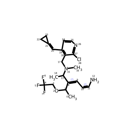 CC(OCC(F)(F)F)/C(=C\C=C/N)C(C)N(C)Cc1c(C=C2CC2)ccnc1Cl